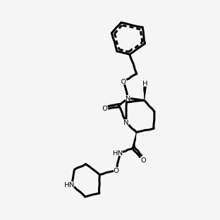 O=C(NOC1CCNCC1)[C@@H]1CC[C@@H]2CN1C(=O)N2OCc1ccccc1